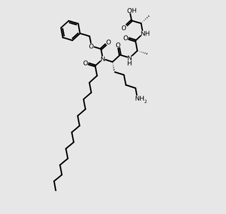 CCCCCCCCCCCCCCCC(=O)N(C(=O)OCc1ccccc1)[C@@H](CCCCN)C(=O)N[C@@H](C)C(=O)N[C@@H](C)C(=O)O